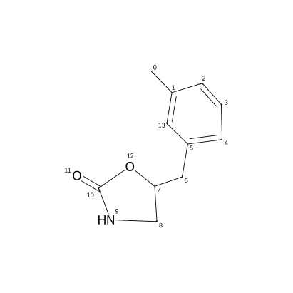 Cc1cccc(CC2CNC(=O)O2)c1